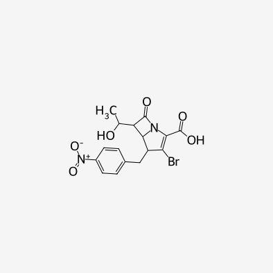 CC(O)C1C(=O)N2C(C(=O)O)=C(Br)C(Cc3ccc([N+](=O)[O-])cc3)C12